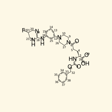 O=C(N[C@@H](CCC(=O)N1CCN(c2cccc(NC3=NCC(F)CN3)c2)CC1)C(=O)O)OCc1ccccc1